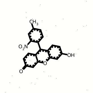 Cc1ccc(-c2c3ccc(=O)cc-3oc3cc(O)ccc23)c([N+](=O)[O-])c1